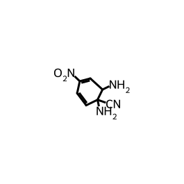 N#CC1(N)C=CC([N+](=O)[O-])=CC1N